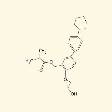 C=C(C)C(=O)OCc1cc(-c2ccc(C3CCCCC3)cc2)ccc1OCCO